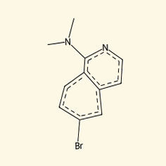 CN(C)c1nccc2cc(Br)ccc12